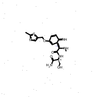 CN/C(C(=O)N[C@@H](CO)C(N)=O)=C1/C=C(OCc2cnc(C)s2)C=CC1=N